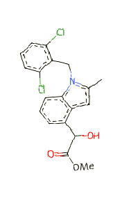 COC(=O)C(O)c1cccc2c1cc(C)n2Cc1c(Cl)cccc1Cl